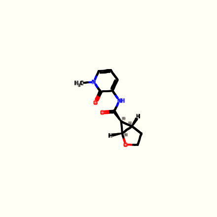 Cn1cccc(NC(=O)[C@H]2[C@@H]3CCO[C@@H]32)c1=O